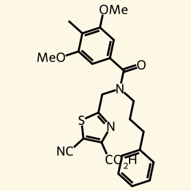 COc1cc(C(=O)N(CCCc2ccccc2)Cc2nc(C(=O)O)c(C#N)s2)cc(OC)c1C